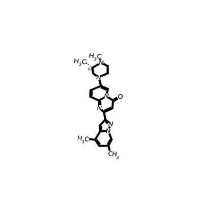 Cc1cc(C)c2cc(-c3cc(=O)n4cc(N5CCN(C)[C@@H](C)C5)ccc4n3)nn2c1